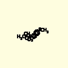 CSN1CCC2(CC1)CCN(C(=O)OC(C)(C)C)C2